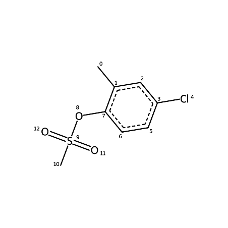 Cc1cc(Cl)ccc1OS(C)(=O)=O